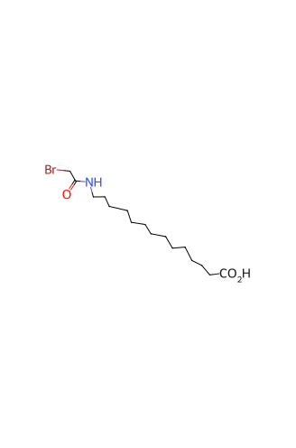 O=C(O)CCCCCCCCCCCCCNC(=O)CBr